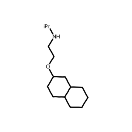 CC(C)NCCOC1CCC2CCCCC2C1